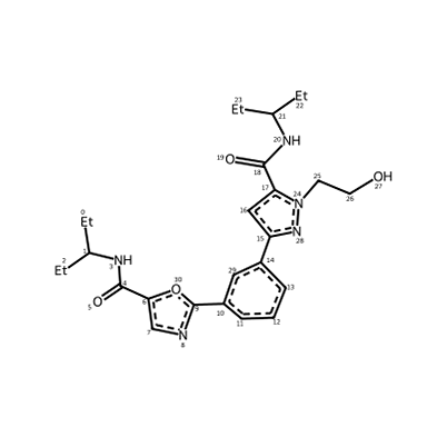 CCC(CC)NC(=O)c1cnc(-c2cccc(-c3cc(C(=O)NC(CC)CC)n(CCO)n3)c2)o1